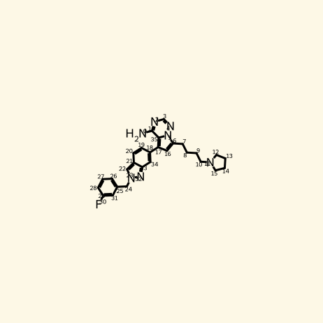 Nc1ncnn2c(CCCCN3CCCC3)cc(-c3ccc4cn(Cc5cccc(F)c5)nc4c3)c12